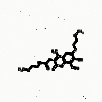 COCCNC(=O)Cc1c(C)c2cc(OCCOC)c(O)c(C=O)c2oc1=O